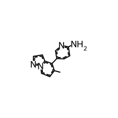 Cc1ccn2nccc2c1-c1ccc(N)nc1